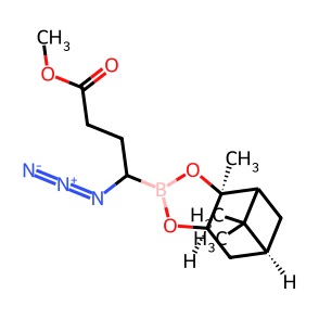 COC(=O)CCC(N=[N+]=[N-])B1O[C@@H]2C[C@@H]3CC(C3(C)C)[C@]2(C)O1